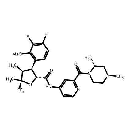 COc1c([C@H]2[C@H](C(=O)Nc3ccnc(C(=O)N4CCN(C)C[C@H]4C)c3)O[C@@](C)(C(F)(F)F)[C@H]2C)ccc(F)c1F